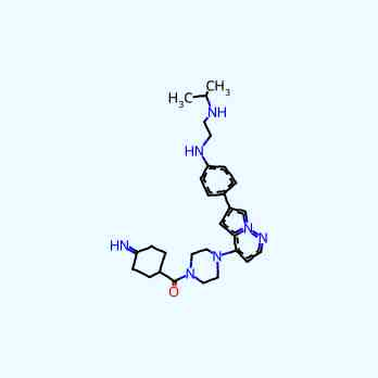 CC(C)NCCNc1ccc(-c2cc3c(N4CCN(C(=O)C5CCC(=N)CC5)CC4)ccnn3c2)cc1